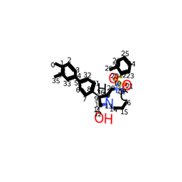 Cc1ccc(-c2ccc([C@@H]3[C@@H](CO)N4CCCCN(S(=O)(=O)c5ccccc5C)C[C@@H]34)cc2)cc1C